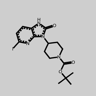 CC(C)(C)OC(=O)N1CCC(n2c(=O)[nH]c3ccc(I)nc32)CC1